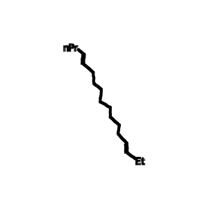 [CH2]CCC=CCCCCCCCCC=CCC